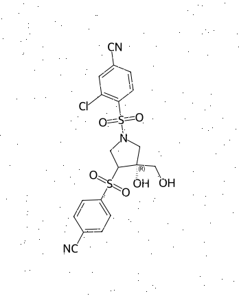 N#Cc1ccc(S(=O)(=O)C2CN(S(=O)(=O)c3ccc(C#N)cc3Cl)C[C@@]2(O)CO)cc1